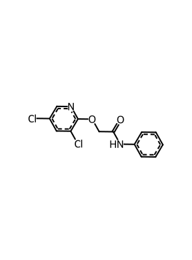 O=C(COc1ncc(Cl)cc1Cl)Nc1ccccc1